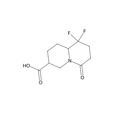 O=C(O)C1CCC2N(C1)C(=O)CCC2(F)F